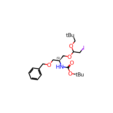 CC(C)(C)COC(CI)OC[C@H](COCc1ccccc1)NC(=O)OC(C)(C)C